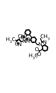 CCc1nc2cccc(C(=O)OC)c2n1Cc1ccc(-c2ccccc2S(=O)(=O)Nc2noc(C)c2C)cc1